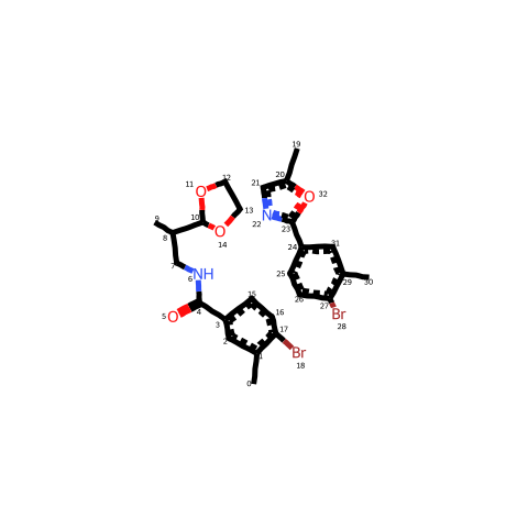 Cc1cc(C(=O)NCC(C)C2OCCO2)ccc1Br.Cc1cnc(-c2ccc(Br)c(C)c2)o1